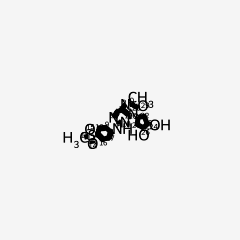 Cc1nc2cnc(Nc3ccc(S(C)(=O)=O)cc3)nc2n(C2CC(O)C(O)C2)c1=O